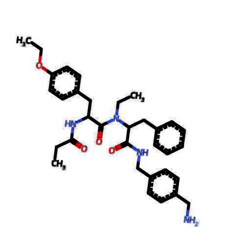 CCOc1ccc(CC(NC(=O)CC)C(=O)N(CC)C(Cc2ccccc2)C(=O)NCc2ccc(CN)cc2)cc1